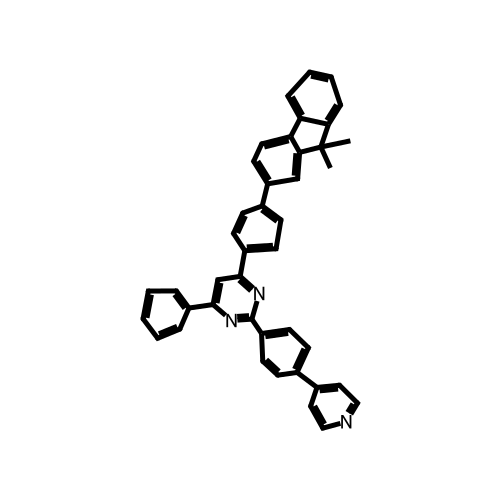 CC1(C)c2ccccc2-c2ccc(-c3ccc(-c4cc(-c5ccccc5)nc(-c5ccc(-c6ccncc6)cc5)n4)cc3)cc21